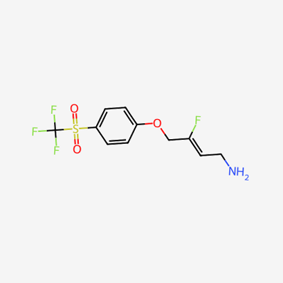 NCC=C(F)COc1ccc(S(=O)(=O)C(F)(F)F)cc1